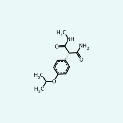 CNC(=O)[C@H](C(N)=O)c1ccc(OC(C)C)cc1